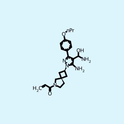 C=CC(=O)N1CC[C@]2(C1)C[C@H](n1nc(-c3ccc(OCCC)cc3)c(C(N)O)c1N)C2